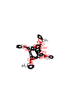 COc1cc(O)c2cc1C(c1ccc(C(=O)OCOC3(C)CCCCC3)cc1)c1cc(c(OC)cc1O)C(c1ccc(C(=O)OCOC3(C)CCCCC3)cc1)c1cc(c(CO)cc1O)C(c1ccc(C(=O)OCOC3(C)CCCCC3)cc1)c1cc(c(CO)cc1O)C2c1ccc(C(=O)OCOC2(C)CCCCC2)cc1